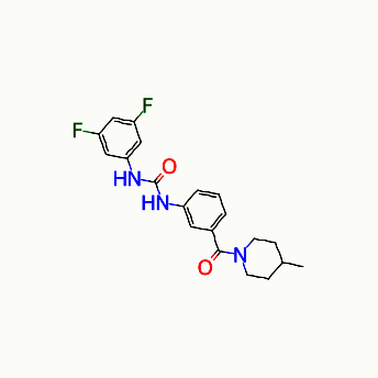 CC1CCN(C(=O)c2cccc(NC(=O)Nc3cc(F)cc(F)c3)c2)CC1